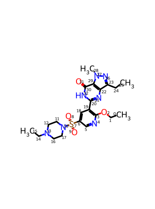 CCOc1ncc(S(=O)(=O)N2CCN(CC)CC2)cc1-c1nc2c(CC)nn(C)c2c(=O)[nH]1